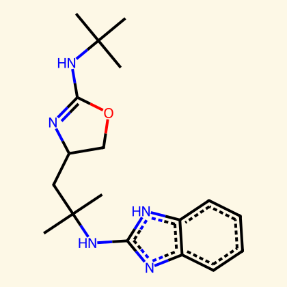 CC(C)(C)NC1=NC(CC(C)(C)Nc2nc3ccccc3[nH]2)CO1